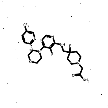 NC(=O)CN1CCC(F)(CNc2ncnc(N3CCOC[C@@H]3c3ccc(C(F)(F)F)cn3)c2F)CC1